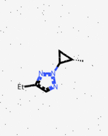 CCc1cnn(C2C[C@@H]2C)n1